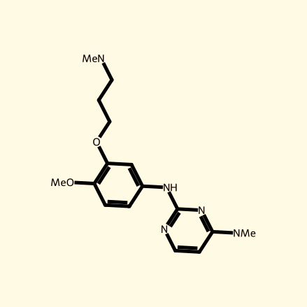 CNCCCOc1cc(Nc2nccc(NC)n2)ccc1OC